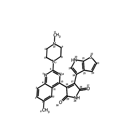 Cc1ccc2nc(N3CCN(C)CC3)nc(C3=C(c4c[nH]c5sccc45)C(=O)NC3=O)c2c1